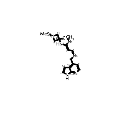 C=N/C(=C\C=N/Cc1ccnc2[nH]ccc12)NC1(C#N)CN(SC)C1